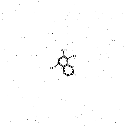 Oc1cc(O)c2ccncc2c1O